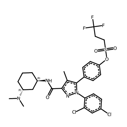 Cc1c(C(=O)N[C@@H]2CCC[C@@H](N(C)C)C2)nn(-c2ccc(Cl)cc2Cl)c1-c1ccc(OS(=O)(=O)CCC(F)(F)F)cc1